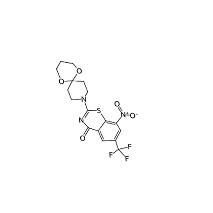 O=c1nc(N2CCC3(CC2)OCCCO3)sc2c([N+](=O)[O-])cc(C(F)(F)F)cc12